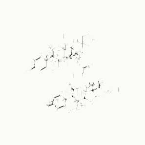 CC(=O)OCC(=O)[C@@]12OC3(CCCC3)O[C@@H]1C[C@H]1[C@@H]3CCC4=CC(=O)C=C[C@]4(C)[C@@]3(F)[C@@H](O)C[C@@]12C.C[C@]12C=CC(=O)C=C1CC[C@@H]1[C@@H]2C(=O)C[C@@]2(C)[C@H]1CC[C@]2(O)C(=O)CO